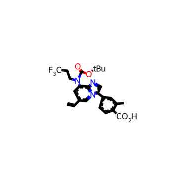 C=Cc1cc(N(CCC(F)(F)F)C(=O)OC(C)(C)C)c2ncc(-c3ccc(C(=O)O)c(C)c3)n2c1